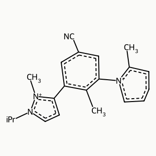 Cc1c(-c2ccn(C(C)C)[n+]2C)cc(C#N)cc1-[n+]1ccccc1C